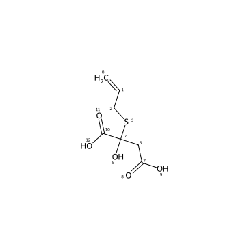 C=CCSC(O)(CC(=O)O)C(=O)O